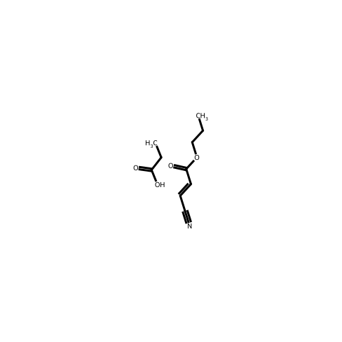 CCC(=O)O.CCCOC(=O)C=CC#N